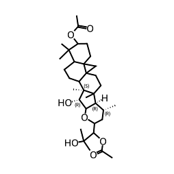 CC(=O)OC(C1C[C@@H](C)[C@H]2C(O1)[C@H](O)[C@@]1(C)C3CCC4C(C)(C)C(OC(C)=O)CCC45CC35CCC21C)C(C)(C)O